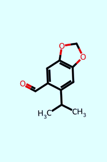 CC(C)c1cc2c(cc1C=O)OCO2